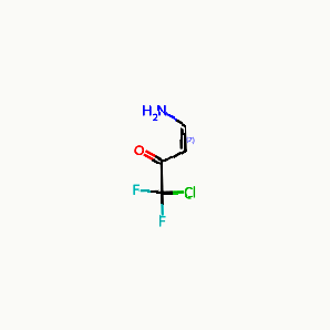 N/C=C\C(=O)C(F)(F)Cl